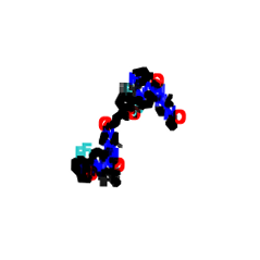 C=CC(=O)N1CCN(c2nc(=O)n(-c3c(C)ccnc3C(C)C)c3nc(-c4c(F)ccc5c(/C=C/C(=O)N6CCN(c7nc(=O)n(/C(C(=N)C(C)C)=C(\C)C=C)c8nc(-c9c(F)ccc%10ccoc9%10)c(F)cc78)[C@@H](C)C6)coc45)c(F)cc23)[C@@H](C)C1